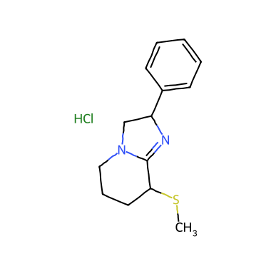 CSC1CCCN2CC(c3ccccc3)N=C12.Cl